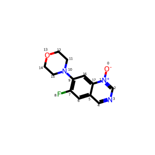 [O-][n+]1cncc2cc(F)c(N3CCOCC3)cc21